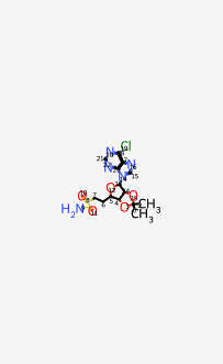 CC1(C)OC2C(CCS(N)(=O)=O)OC(n3cnc4c(Cl)ncnc43)C2O1